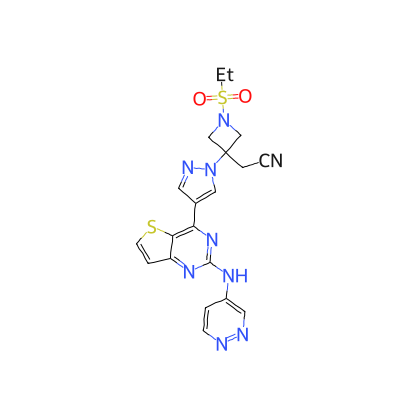 CCS(=O)(=O)N1CC(CC#N)(n2cc(-c3nc(Nc4ccnnc4)nc4ccsc34)cn2)C1